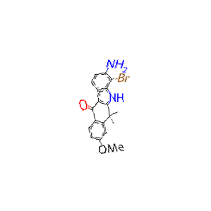 COc1ccc2c(c1)C(C)(C)c1[nH]c3c(Br)c(N)ccc3c1C2=O